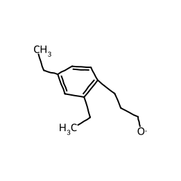 CCc1ccc(CCC[O])c(CC)c1